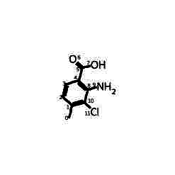 Cc1ccc(C(=O)O)c(N)c1Cl